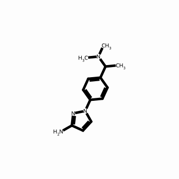 CC(c1ccc(-n2ccc(N)n2)cc1)N(C)C